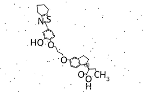 CCC(C(=O)O)[C@@H]1CCc2cc(OCCCOc3ccc(-c4nc5c(s4)CCCC5)cc3O)ccc21